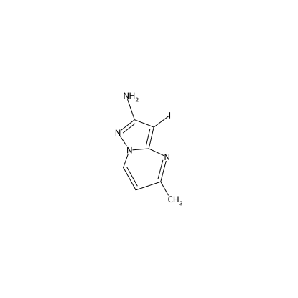 Cc1ccn2nc(N)c(I)c2n1